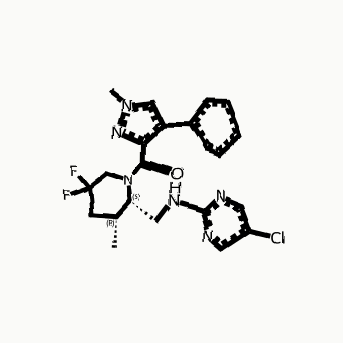 C[C@@H]1CC(F)(F)CN(C(=O)c2nn(C)cc2-c2ccccc2)[C@@H]1CNc1ncc(Cl)cn1